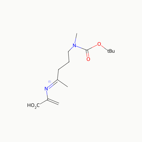 C=C(/N=C(\C)CCCN(C)C(=O)OC(C)(C)C)C(=O)O